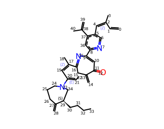 C=C/C(C)=C\c1cnc(C2=CC(=O)C(=C)CC(/C(C)=C\C(=C/C)N3CCCC(=C)[C@H](CCCC)C3)=N2)cc1C(=C)C